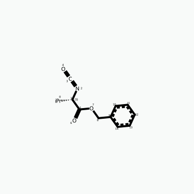 CC(C)[C@H](N=C=O)C(=O)OCc1ccccc1